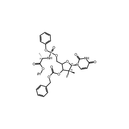 CC(C)OC(=O)[C@H](C)NP(=O)(OCC1O[C@@H](n2ccc(=O)[nH]c2=O)[C@](C)(F)C1OC(=O)OCc1ccccc1)Oc1ccccc1